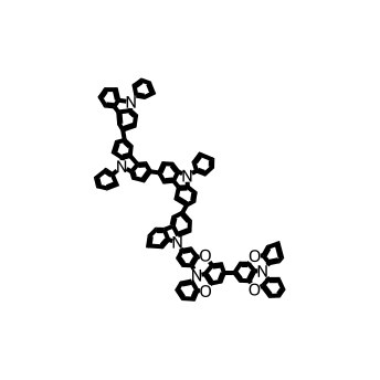 c1ccc(-n2c3ccccc3c3cc(-c4ccc5c(c4)c4cc(-c6ccc7c(c6)c6cc(-c8ccc9c(c8)c8ccccc8n9-c8ccc9c(c8)Oc8cc(-c%10cc%11c%12c(c%10)Oc%10ccccc%10N%12c%10ccccc%10O%11)cc%10c8N9c8ccccc8O%10)ccc6n7-c6ccccc6)ccc4n5-c4ccccc4)ccc32)cc1